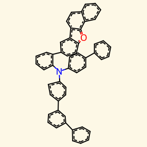 c1ccc(-c2ccc(N(c3ccc(-c4cccc(-c5ccccc5)c4)cc3)c3ccccc3-c3ccc4oc5c6ccccc6ccc5c4c3)cc2)cc1